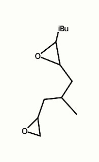 CCC(C)C1OC1CC(C)CC1CO1